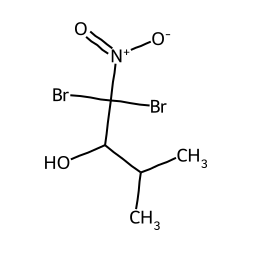 CC(C)C(O)C(Br)(Br)[N+](=O)[O-]